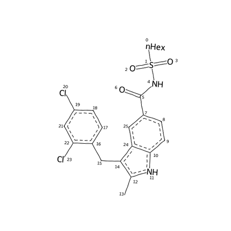 CCCCCCS(=O)(=O)NC(=O)c1ccc2[nH]c(C)c(Cc3ccc(Cl)cc3Cl)c2c1